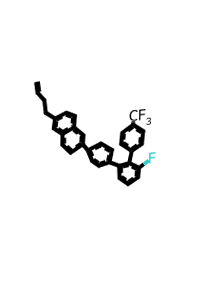 C=CCCc1ccc2cc(-c3ccc(-c4cccc(F)c4-c4ccc(C(F)(F)F)cc4)cc3)ccc2c1